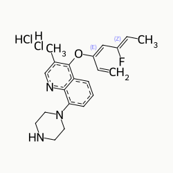 C=C/C(=C\C(F)=C\C)Oc1c(C)cnc2c(N3CCNCC3)cccc12.Cl.Cl